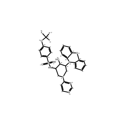 N=S(=O)(NC1CN(c2ccncn2)CC(N2c3ccccc3Oc3ccccc32)C1O)c1ccc(OC(F)(F)F)cc1